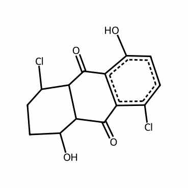 O=C1c2c(Cl)ccc(O)c2C(=O)C2C(Cl)CCC(O)C12